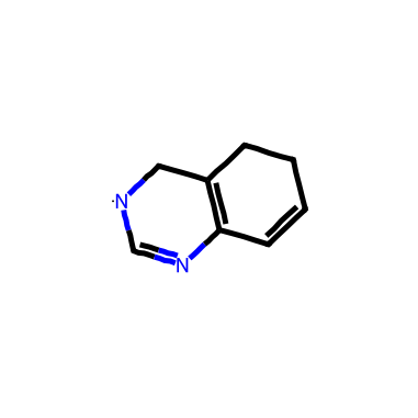 C1=CC2=C(CC1)C[N]C=N2